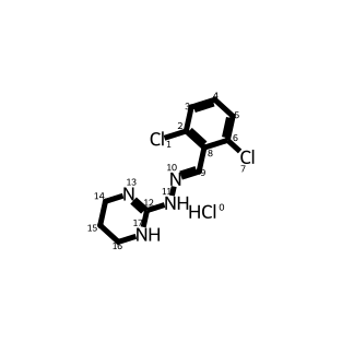 Cl.Clc1cccc(Cl)c1C=NNC1=NCCCN1